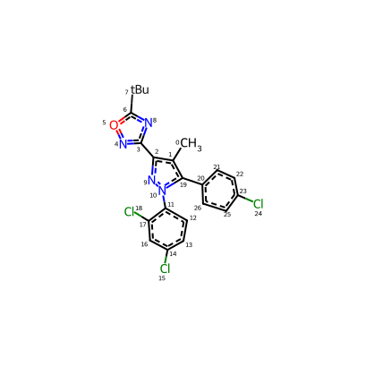 Cc1c(-c2noc(C(C)(C)C)n2)nn(-c2ccc(Cl)cc2Cl)c1-c1ccc(Cl)cc1